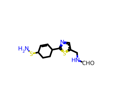 NSC1C=CC(c2ncc(CNC=O)s2)CC1